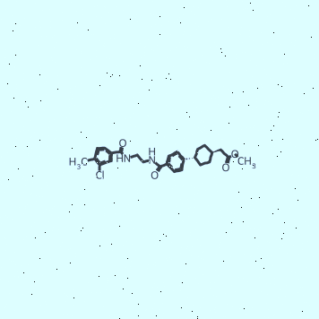 COC(=O)C[C@H]1CC[C@H](c2ccc(C(=O)NCCNC(=O)c3ccc(C)c(Cl)c3)cc2)CC1